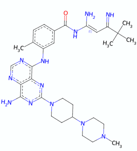 Cc1ccc(C(=O)N/C(N)=C/C(=N)C(C)(C)C)cc1Nc1ncnc2c(N)nc(N3CCC(N4CCN(C)CC4)CC3)nc12